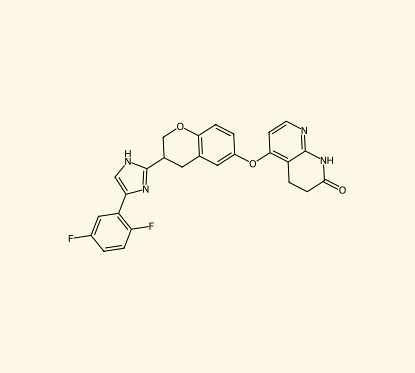 O=C1CCc2c(Oc3ccc4c(c3)CC(c3nc(-c5cc(F)ccc5F)c[nH]3)CO4)ccnc2N1